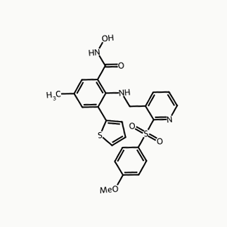 COc1ccc(S(=O)(=O)c2ncccc2CNc2c(C(=O)NO)cc(C)cc2-c2cccs2)cc1